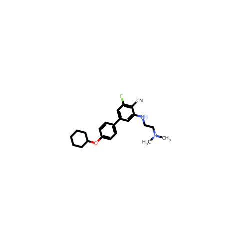 CN(C)CCNc1cc(-c2ccc(OC3CCCCC3)cc2)cc(F)c1C#N